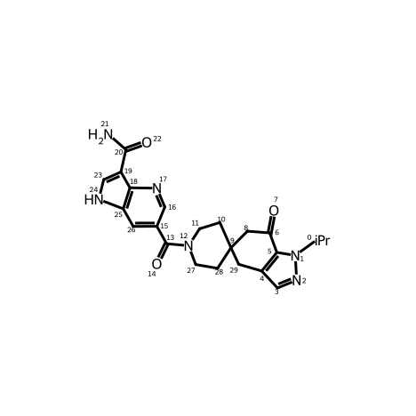 CC(C)n1ncc2c1C(=O)CC1(CCN(C(=O)c3cnc4c(C(N)=O)c[nH]c4c3)CC1)C2